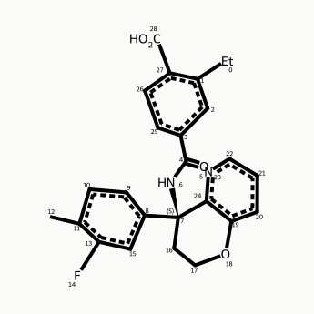 CCc1cc(C(=O)N[C@]2(c3ccc(C)c(F)c3)CCOc3cccnc32)ccc1C(=O)O